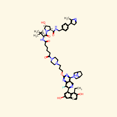 CCc1c(O)ccc2cc(O)cc(-c3ncc4c(N5CC6CCC(C5)N6)nc(OCCCN5CCN(C(=O)CCCCC(=O)N[C@H](C(=O)N6C[C@H](O)C[C@H]6C(=O)NCc6ccc(C7=C(C)N=CC7)cc6)C(C)(C)C)CC5)nc4c3F)c12